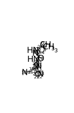 CC1(C)CCc2c(C(=O)Nc3cnn(C(CCC#N)c4cccnc4)c3)n[nH]c2C1